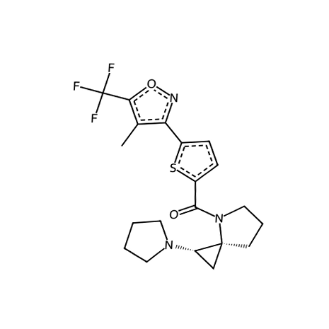 Cc1c(-c2ccc(C(=O)N3CCC[C@@]34C[C@@H]4N3CCCC3)s2)noc1C(F)(F)F